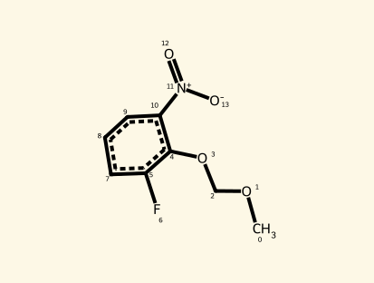 COCOc1c(F)cccc1[N+](=O)[O-]